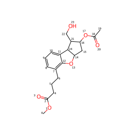 COC(=O)CCCc1cccc2c1OC1CC(OC(C)=O)C(CO)C21